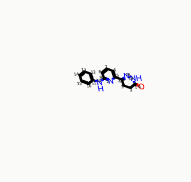 O=C1CCC(c2cccc(Nc3ccccc3)n2)=NN1